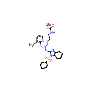 Cc1cccnc1CN(CCCCNC(=O)OC(C)(C)C)Cc1nc2ccccc2n1S(=O)(=O)c1ccccc1